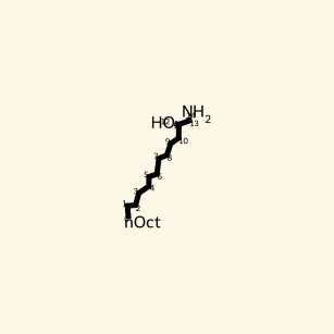 CCCCCCCCCCCCCCCCCCC(O)CN